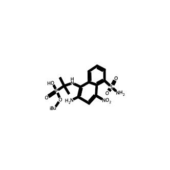 CCC(C)OP(=O)(O)C(C)(C)Nc1c(N)cc([N+](=O)[O-])c2c(S(N)(=O)=O)cccc12